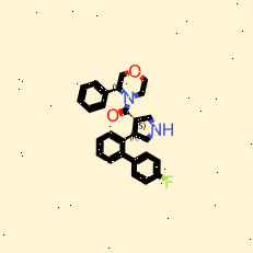 O=C([C@@H]1CNC[C@H]1c1ccccc1-c1ccc(F)cc1)N1CCOC[C@@H]1c1ccccc1